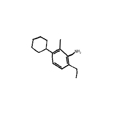 CCc1ccc(C2CCCCC2)c(C)c1N